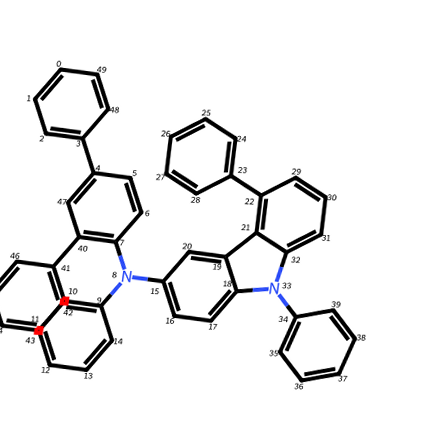 c1ccc(-c2ccc(N(c3ccccc3)c3ccc4c(c3)c3c(-c5ccccc5)cccc3n4-c3ccccc3)c(-c3ccccc3)c2)cc1